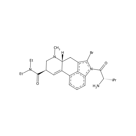 CCN(CC)C(=O)[C@@H]1C=C2c3cccc4c3c(c(Br)n4C(=O)[C@@H](N)C(C)C)C[C@H]2N(C)C1